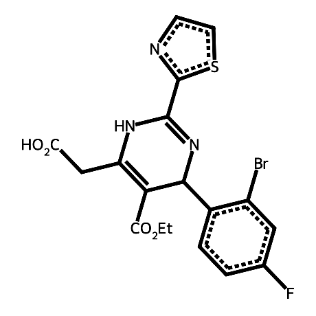 CCOC(=O)C1=C(CC(=O)O)NC(c2nccs2)=NC1c1ccc(F)cc1Br